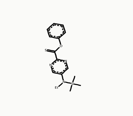 CCN(c1cnc(C(=S)Oc2ccccc2)nc1)[Si](C)(C)C